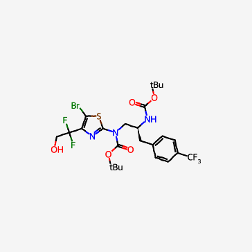 CC(C)(C)OC(=O)N[C@@H](Cc1ccc(C(F)(F)F)cc1)CN(C(=O)OC(C)(C)C)c1nc(C(F)(F)CO)c(Br)s1